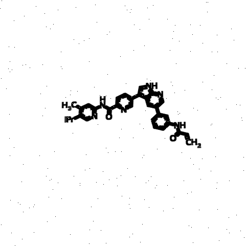 C=CC(=O)Nc1cccc(-c2cnc3[nH]cc(-c4ccc(C(=O)Nc5cc(C)c(C(C)C)cn5)nc4)c3c2)c1